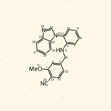 COc1cc(CNc2ccccc2-n2cnc3ccccc32)ccc1C#N